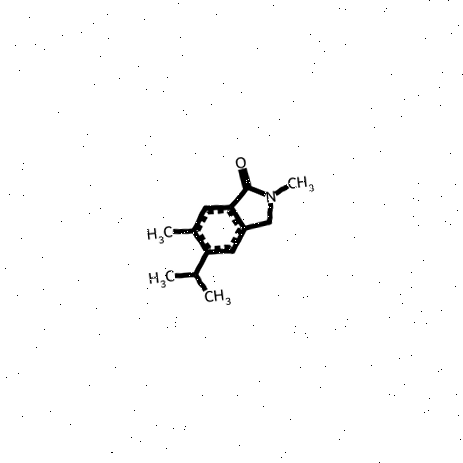 Cc1cc2c(cc1C(C)C)CN(C)C2=O